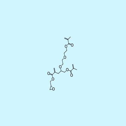 C=C(C)C(=O)OCCOCCOC(COC(=O)C(=C)C)CC(=C)C(=O)OCC1CO1